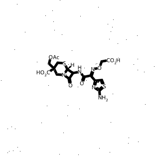 CC(=O)OCC1(C(=O)O)CS[C@@H]2C(NC(=O)C(=NOCC(=O)O)c3csc(N)n3)C(=O)N2C1